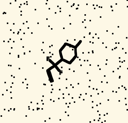 C=CC(F)(F)C1CCC(C)CC1